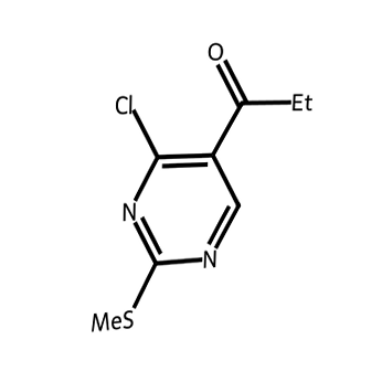 CCC(=O)c1cnc(SC)nc1Cl